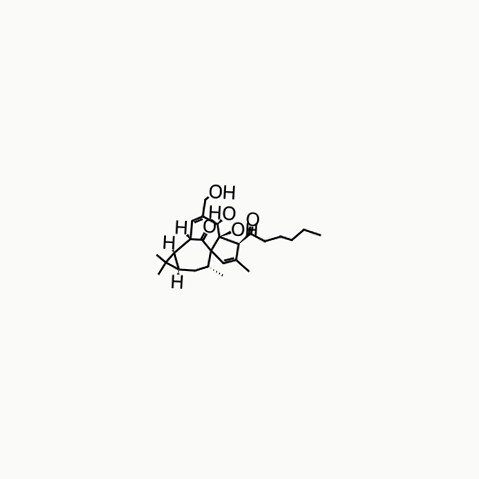 CCCCCC(=O)[C@H]1C(C)=CC23C(=O)[C@@H](C=C(CO)[C@@H](O)[C@]12O)[C@H]1[C@@H](C[C@H]3C)C1(C)C